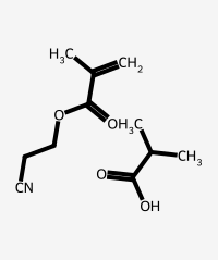 C=C(C)C(=O)OCCC#N.CC(C)C(=O)O